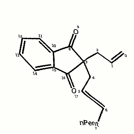 C=CCC1(C/C=C/CCCCC)C(=O)c2ccccc2C1=O